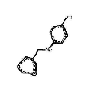 Clc1ccc(NCc2cc[c]cc2)cc1